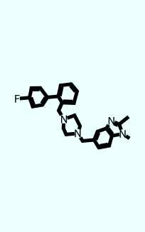 Cc1nc2cc(CN3CCN(Cc4ccccc4-c4ccc(F)cc4)CC3)ccc2n1C